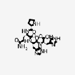 NC(=O)CC[C@H](NC(=O)[C@@H]1CCCN1)C(=O)N[C@@H](Cc1c[nH]cn1)C(=O)N[C@@H](Cc1c[nH]cn1)C(=O)O